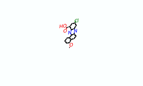 COc1cccc2c1ccc1nc3cc(Cl)cc(C(=O)O)c3nc12